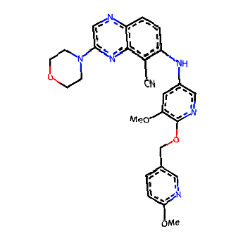 COc1ccc(COc2ncc(Nc3ccc4ncc(N5CCOCC5)nc4c3C#N)cc2OC)cn1